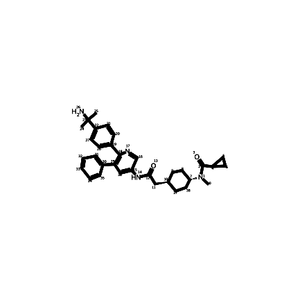 CN(C(=O)C1CC1)[C@H]1CC[C@H](CC(=O)Nc2cnc(-c3ccc(C(C)(C)N)cc3)c(-c3ccccc3)c2)CC1